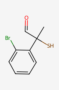 CC(S)(C=O)c1ccccc1Br